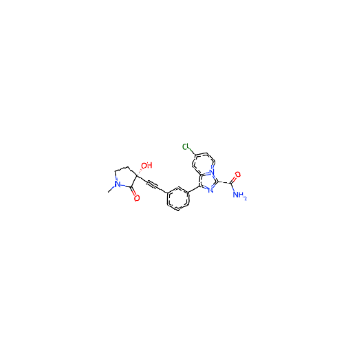 CN1CC[C@@](O)(C#Cc2cccc(-c3nc(C(N)=O)n4ccc(Cl)cc34)c2)C1=O